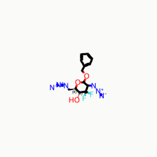 [N-]=[N+]=NC[C@H]1OC(OCc2ccccc2)C(N=[N+]=[N-])C(F)(F)[C@@H]1O